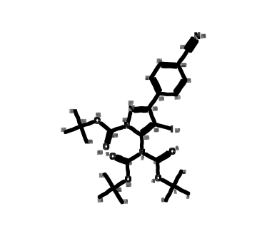 CC(C)(C)OC(=O)N(C(=O)OC(C)(C)C)c1c(I)c(-c2ccc(C#N)cc2)nn1C(=O)OC(C)(C)C